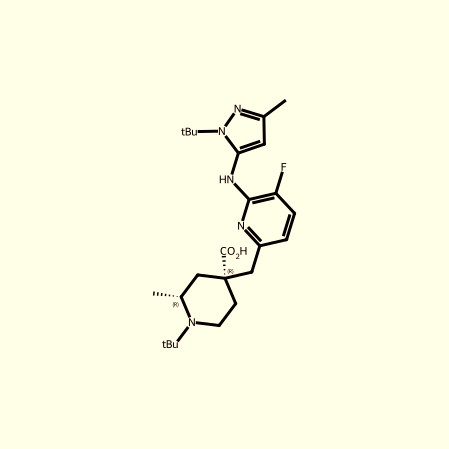 Cc1cc(Nc2nc(C[C@@]3(C(=O)O)CCN(C(C)(C)C)[C@H](C)C3)ccc2F)n(C(C)(C)C)n1